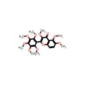 COc1ccc2oc(-c3c(OC)c(OC)c(OC)c(OC)c3OC)c(OC)c(=O)c2c1OC